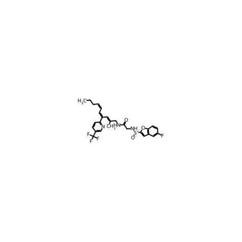 CCC\C=C/C=C(\C=C(/C)CNC(=O)CN[S+]([O-])c1cc2cc(F)ccc2o1)c1ccc(C(F)(F)F)cn1